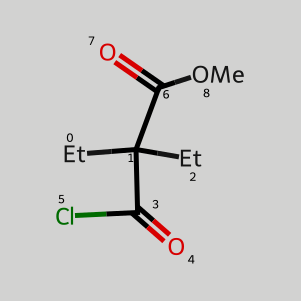 CCC(CC)(C(=O)Cl)C(=O)OC